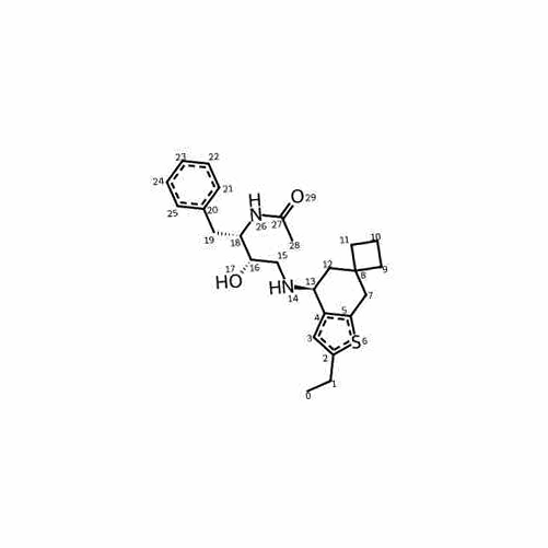 CCc1cc2c(s1)CC1(CCC1)C[C@@H]2NC[C@H](O)[C@H](Cc1ccccc1)NC(C)=O